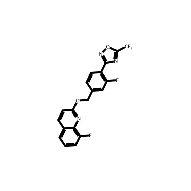 Fc1cc(COc2ccc3cccc(F)c3n2)ccc1-c1noc(C(F)(F)F)n1